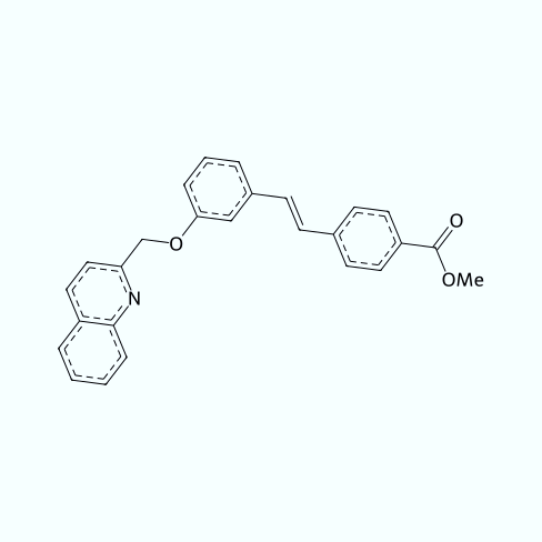 COC(=O)c1ccc(C=Cc2cccc(OCc3ccc4ccccc4n3)c2)cc1